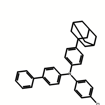 Clc1ccc(N(c2ccc(-c3ccccc3)cc2)c2ccc(C34CC5CC(CC(C5)C3)C4)cc2)cc1